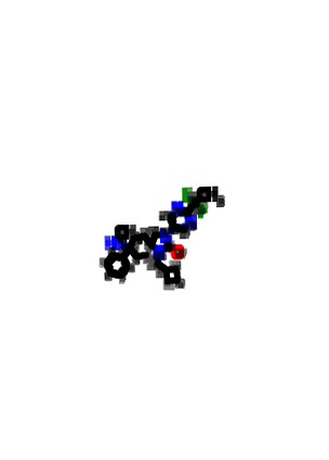 CN[C@]1(c2ccccc2)CC[C@]2(CC1)CN(c1cnc(C(C)(F)F)nc1)C(=O)N2CC1CCC1